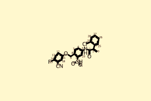 C=C(C(=O)Nc1ccc(COc2ccc(F)c(C#N)c2)c([SH](=O)=O)c1)c1ccccc1Cl